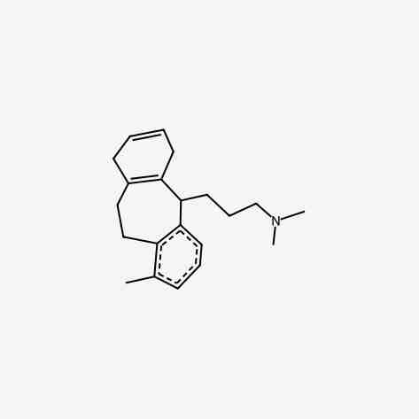 Cc1cccc2c1CCC1=C(CC=CC1)C2CCCN(C)C